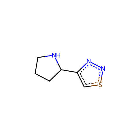 c1snnc1C1CCCN1